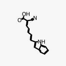 N#C\C(=C/C=C/C=C/c1cc2ccccc2[nH]1)C(=O)O